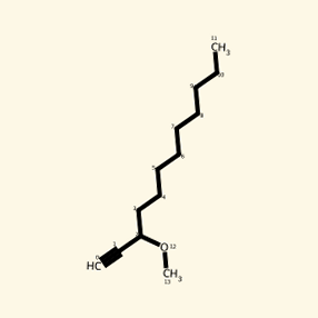 C#CC(CCCCCCCCC)OC